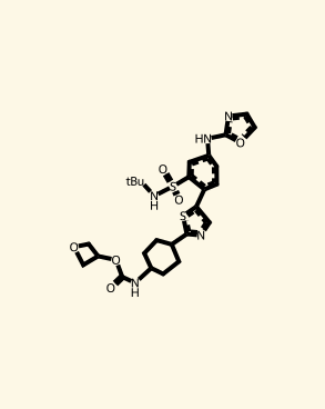 CC(C)(C)NS(=O)(=O)c1cc(Nc2ncco2)ccc1-c1cnc(C2CCC(NC(=O)OC3COC3)CC2)s1